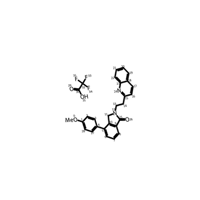 COc1ccc(-c2cccc3c2CN(CCc2ccc4ccccc4n2)C3=O)cc1.O=C(O)C(F)(F)F